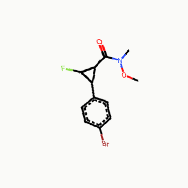 CON(C)C(=O)C1C(F)C1c1ccc(Br)cc1